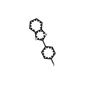 Fc1ccc(-c2nc3ccccc3o2)cc1